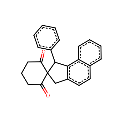 O=C1CCCC(=O)C12Cc1ccc3ccccc3c1C2c1ccccc1